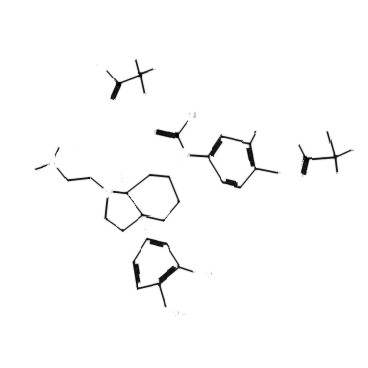 COc1ccc([C@@]23CC[C@@H](N(C(N)=O)c4ccc(F)c(F)c4)C[C@@H]2N(CCN(C)C)CC3)cc1OC.O=C(O)C(F)(F)F.O=C(O)C(F)(F)F